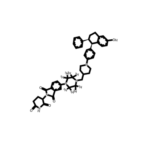 [2H]C1([2H])N(CC2CCN(c3ccc([C@@H]4c5ccc(O)cc5CC[C@@H]4c4ccccc4)cc3)CC2)C([2H])([2H])C([2H])([2H])N(c2ccc3c(c2)C(=O)N(C2CCC(=O)NC2=O)C3=O)C1([2H])[2H]